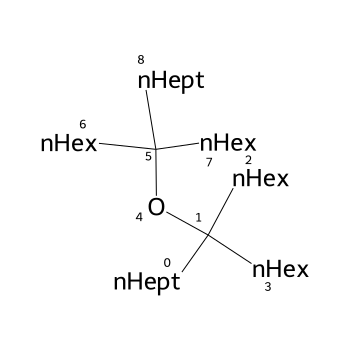 CCCCCCCC(CCCCCC)(CCCCCC)OC(CCCCCC)(CCCCCC)CCCCCCC